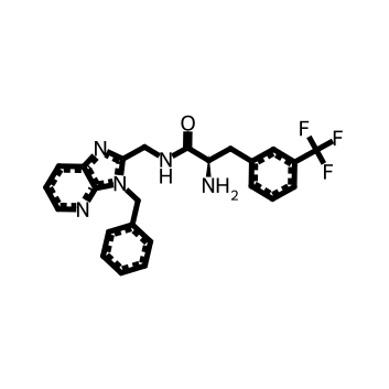 N[C@H](Cc1cccc(C(F)(F)F)c1)C(=O)NCc1nc2cccnc2n1Cc1ccccc1